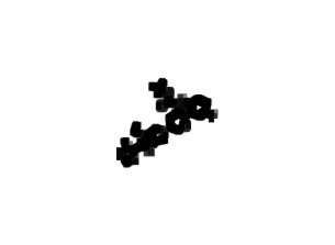 CCn1c(-c2ncnn2C)nc2c1CN([C@H]1CO[C@H](c3cc(F)ccc3F)[C@@H](NC(=O)OC(C)(C)C)C1)C2